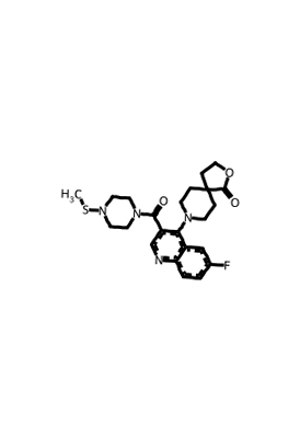 CSN1CCN(C(=O)c2cnc3ccc(F)cc3c2N2CCC3(CCOC3=O)CC2)CC1